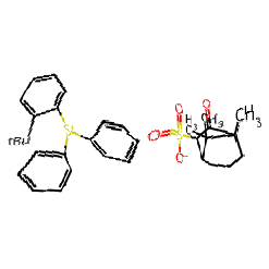 CC(C)(C)c1ccccc1[S+](c1ccccc1)c1ccccc1.CC12CCC(C(S(=O)(=O)[O-])C1=O)C2(C)C